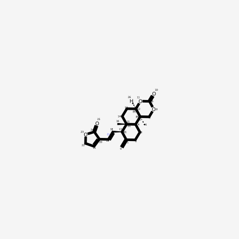 C=C1CCC2[C@]3(C)COC(=O)O[C@@H]3CC[C@@]2(C)[C@@H]1/C=C/C1=CCOC1=O